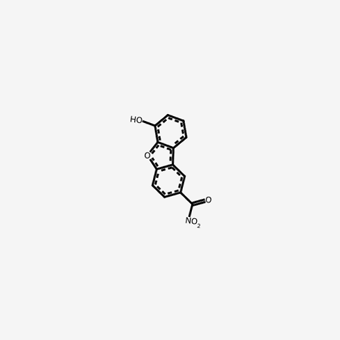 O=C(c1ccc2oc3c(O)cccc3c2c1)[N+](=O)[O-]